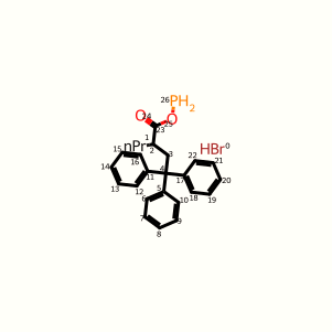 Br.CCCC(CC(c1ccccc1)(c1ccccc1)c1ccccc1)C(=O)OP